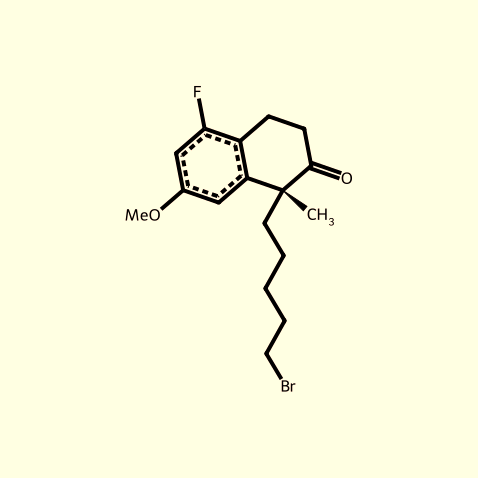 COc1cc(F)c2c(c1)[C@@](C)(CCCCCBr)C(=O)CC2